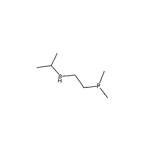 CC(C)BCCP(C)C